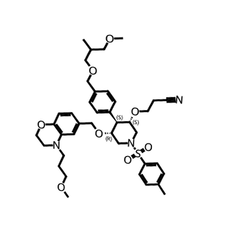 COCCCN1CCOc2ccc(CO[C@H]3CN(S(=O)(=O)c4ccc(C)cc4)C[C@@H](OCCC#N)[C@@H]3c3ccc(COCC(C)COC)cc3)cc21